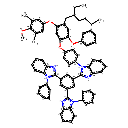 CCCCC(CC)Cc1cc(Oc2ccccc2)c(Oc2ccc(-n3c(-c4cc(-c5nc6ccccc6n5-c5ccccc5)cc(-c5nc6ccccc6n5-c5ccccc5)c4)nc4ccccc43)cc2)cc1Oc1cc(C)c(OC)c(C)c1